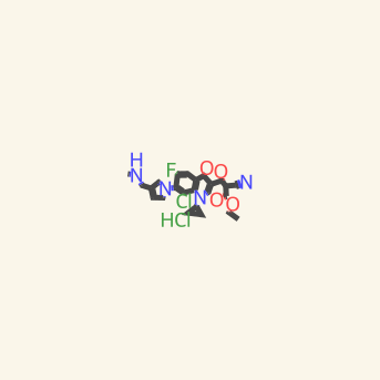 CCOC(=O)C(C#N)C(=O)c1cn(C2CC2)c2c(Cl)c(N3CC=C(CNC)C3)c(F)cc2c1=O.Cl